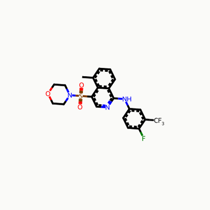 Cc1cccc2c(Nc3ccc(F)c(C(F)(F)F)c3)ncc(S(=O)(=O)N3CCOCC3)c12